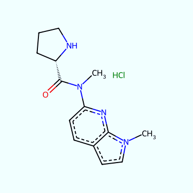 CN(C(=O)[C@@H]1CCCN1)c1ccc2ccn(C)c2n1.Cl